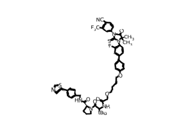 CC(C)(C)C(NC(=O)COCCCCOc1ccc(-c2ccc(N3C(=S)N(c4ccc(C#N)c(C(F)(F)F)c4)C(=O)C3(C)C)c(F)c2)cc1)C(=O)N1CCC[C@H]1C(=O)NCc1ccc(-c2cncs2)cc1